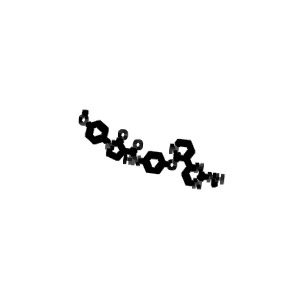 CNc1nccc(-c2cccnc2Oc2ccc(NC(=O)C3CCN(c4ccc(OC)cc4)C3=O)cc2)n1